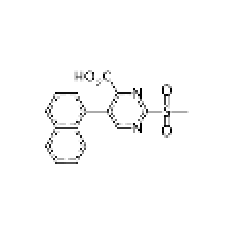 CS(=O)(=O)c1ncc(-c2cccc3ccccc23)c(C(=O)O)n1